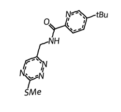 CSc1ncc(CNC(=O)c2ccc(C(C)(C)C)cn2)nn1